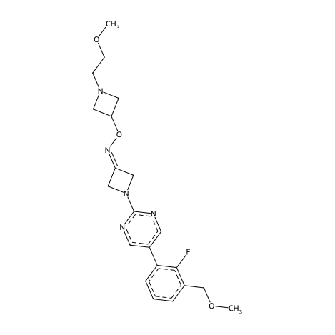 COCCN1CC(ON=C2CN(c3ncc(-c4cccc(COC)c4F)cn3)C2)C1